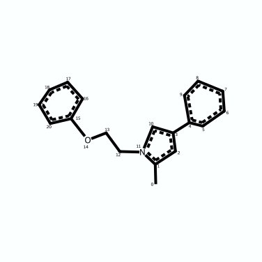 Cc1cc(-c2ccccc2)cn1CCOc1ccccc1